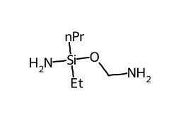 CCC[Si](N)(CC)OCN